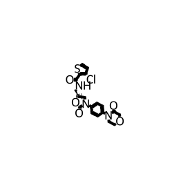 O=C(NC[C@H]1CN(c2ccc(N3CCOCC3=O)cc2)C(=O)O1)c1sccc1Cl